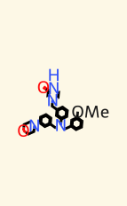 COc1cccc(CN(Cc2cccc(N3CCOCC3)c2)c2cccc(CN3CCNC(=O)C3)c2)c1